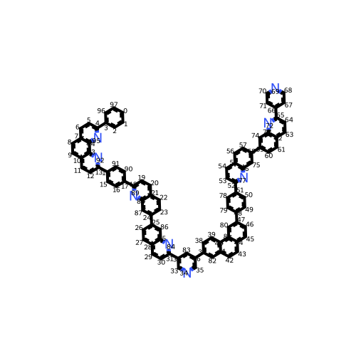 c1ccc(-c2ccc3ccc4ccc(-c5ccc(-c6ccc7ccc(-c8ccc9ccc(-c%10cncc(-c%11ccc%12c(ccc%13ccc(-c%14ccc(-c%15ccc%16ccc(-c%17ccc%18ccc(-c%19ccncc%19)nc%18c%17)cc%16n%15)cc%14)cc%13%12)c%11)c%10)nc9c8)cc7n6)cc5)nc4c3n2)cc1